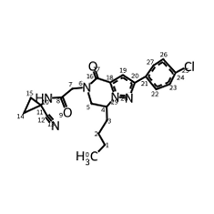 CCCCC1CN(CC(=O)NC2(C#N)CC2)C(=O)c2cc(-c3ccc(Cl)cc3)nn21